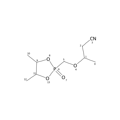 CC(CC#N)OCP1(=O)OC(C)C(C)O1